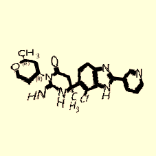 C[C@@H]1C[C@H](N2C(=N)N[C@](C)(c3ccc4nc(-c5cccnc5)[nH]c4c3Cl)CC2=O)CCO1